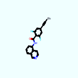 CC(C)(C)C#Cc1cc(F)c(C(=O)Nc2cccc3cnccc23)c(F)c1